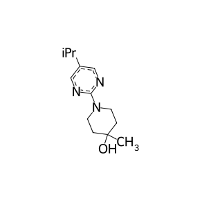 CC(C)c1cnc(N2CCC(C)(O)CC2)nc1